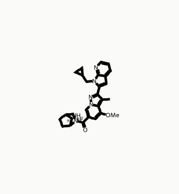 COc1cc(C(=O)N2CC3CCC2[C@@H]3N)cn2nc(-c3cc4cccnc4n3CC3CC3)c(C)c12